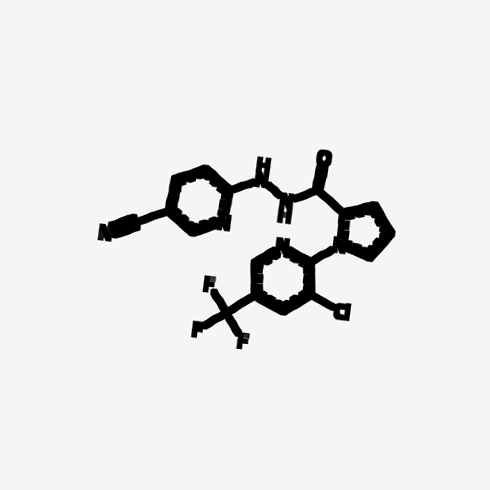 N#Cc1ccc(NNC(=O)c2cccn2-c2ncc(C(F)(F)F)cc2Cl)nc1